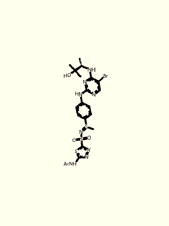 CC(=O)Nc1nnc(S(=O)(=O)/N=S(\C)c2ccc(Nc3ncc(Br)c(N[C@H](C)C(C)(C)O)n3)cc2)s1